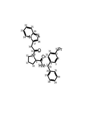 CC(C)c1ccc([C@@H](NC(=O)C2CCCN2C(=O)Cc2cnc3ccccn23)c2ccccc2)cc1